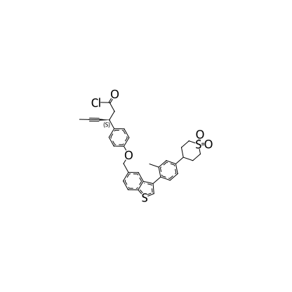 CC#C[C@@H](CC(=O)Cl)c1ccc(OCc2ccc3scc(-c4ccc(C5CCS(=O)(=O)CC5)cc4C)c3c2)cc1